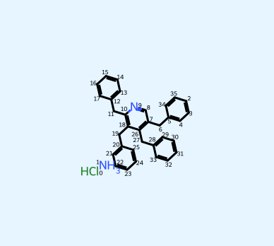 Cl.N.c1ccc(Cc2cnc(Cc3ccccc3)c(Cc3ccccc3)c2Cc2ccccc2)cc1